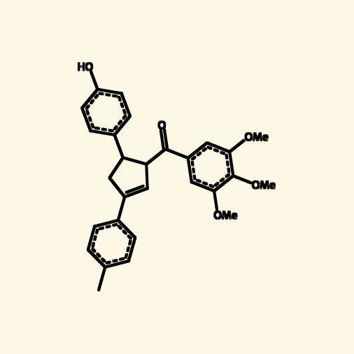 COc1cc(C(=O)C2C=C(c3ccc(C)cc3)CC2c2ccc(O)cc2)cc(OC)c1OC